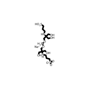 O=S(=O)([O-])CCCNC(CO)(CO)CO[SiH2]OCC(CO)(CO)NCCCS(=O)(=O)O.[Na+]